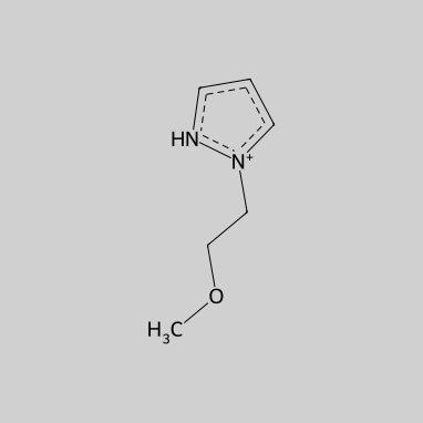 COCC[n+]1ccc[nH]1